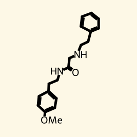 COc1ccc(CCNC(=O)CNCCc2ccccc2)cc1